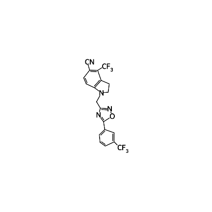 N#Cc1ccc2c(c1C(F)(F)F)CCN2Cc1noc(-c2cccc(C(F)(F)F)c2)n1